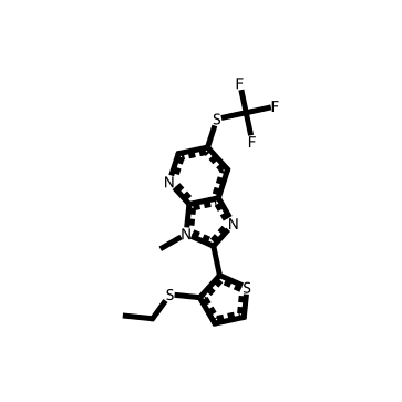 CCSc1ccsc1-c1nc2cc(SC(F)(F)F)cnc2n1C